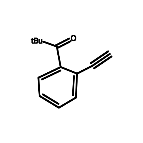 C#Cc1ccccc1C(=O)C(C)(C)C